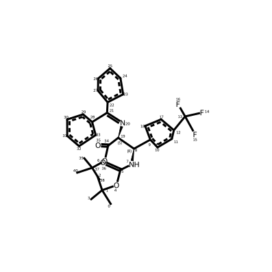 CC(C)(C)OC(=O)N[C@H](c1ccc(C(F)(F)F)cc1)[C@H](N=C(c1ccccc1)c1ccccc1)C(=O)OC(C)(C)C